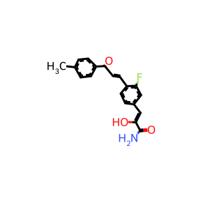 Cc1ccc(C(=O)C=Cc2ccc(C=C(O)C(N)=O)cc2F)cc1